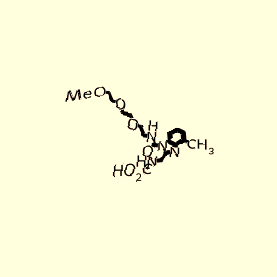 COCCOCCOCCNC(=O)n1c(CNC(=O)O)nc2c(C)cccc21